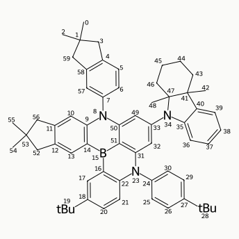 CC1(C)Cc2ccc(N3c4cc5c(cc4B4c6cc(C(C)(C)C)ccc6N(c6ccc(C(C)(C)C)cc6)c6cc(N7c8ccccc8C8(C)CCCCC78C)cc3c64)CC(C)(C)C5)cc2C1